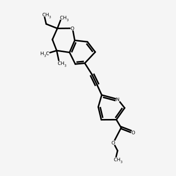 CCOC(=O)c1ccc(C#Cc2ccc3c(c2)C(C)(C)CC(C)(CC)O3)nc1